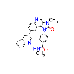 CNC(=O)c1ccc(-n2c(=O)n(C)c3cnc4ccc(-c5cnc6ccccc6c5)cc4c32)cc1